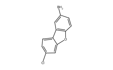 Bc1ccc2oc3cc(Cl)ccc3c2c1